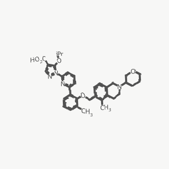 Cc1cccc(-c2cccc(-n3ncc(C(=O)O)c3OC(C)C)n2)c1OCc1ccc2c(c1C)CCN(C1CCCOC1)C2